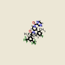 Cc1cc(F)ccc1[C@H]1CN(C(=O)c2cnccn2)CC[C@@H]1N(C)C(=O)C(C)(C)c1cc(C(F)(F)F)cc(C(F)(F)F)c1